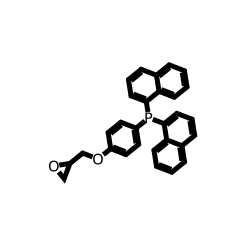 c1ccc2c(P(c3ccc(OCC4CO4)cc3)c3cccc4ccccc34)cccc2c1